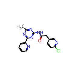 Cc1nc(NC(=O)Cc2ccc(Cl)nc2)nc(-c2ccccn2)n1